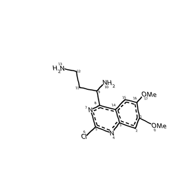 COc1cc2nc(Cl)nc(C(N)CCN)c2cc1OC